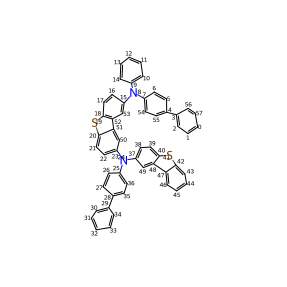 c1ccc(-c2ccc(N(c3ccccc3)c3ccc4sc5ccc(N(c6ccc(-c7ccccc7)cc6)c6ccc7sc8ccccc8c7c6)cc5c4c3)cc2)cc1